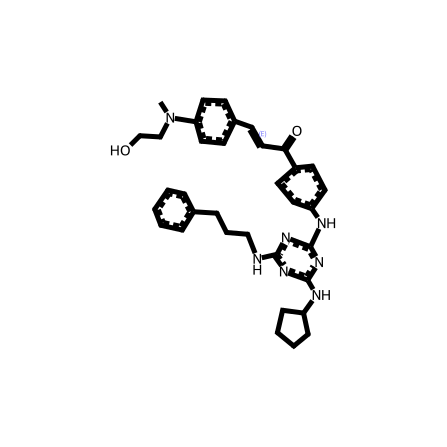 CN(CCO)c1ccc(/C=C/C(=O)c2ccc(Nc3nc(NCCCc4ccccc4)nc(NC4CCCC4)n3)cc2)cc1